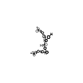 CCOC(=O)N1CC2(CCC(N3CCN(c4ncccc4-c4ccc(NC(=O)Cc5ccc(-c6ccc(C#N)cc6)c(N6CCN(C7CCC8(C7)CN(C(=O)OCC)C8)CC6)n5)cc4)CC3)C2)C1